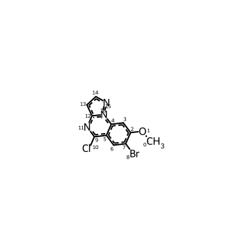 COc1cc2c(cc1Br)c(Cl)nc1ccnn12